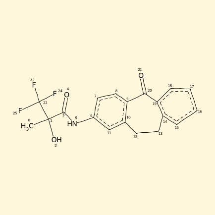 CC(O)(C(=O)Nc1ccc2c(c1)CCc1ccccc1C2=O)C(F)(F)F